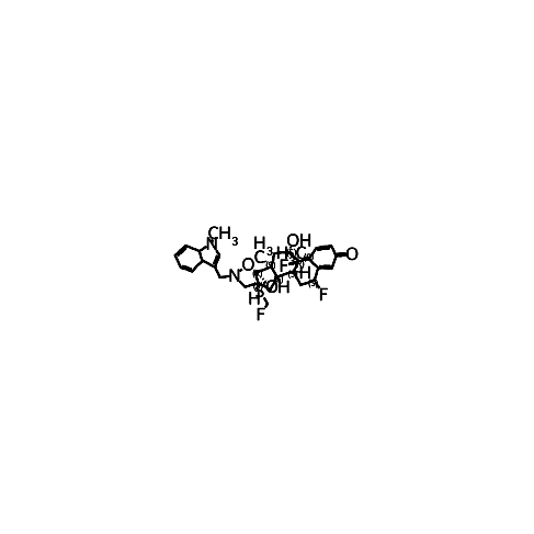 CN1C=C(CN2C[C@@H]3C[C@H]4[C@@H]5C[C@H](F)C6=CC(=O)C=C[C@]6(C)[C@@]5(F)[C@@H](O)C[C@]4(C)[C@]3(C(=O)SCF)O2)C2C=CC=CC21